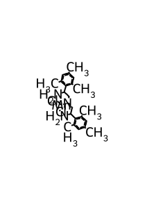 Cc1cc(C)c(C(N)C[N](CC(N)c2c(C)cc(C)cc2C)[Mn]([Cl])[Cl])c(C)c1